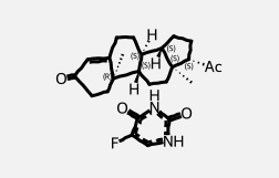 CC(=O)[C@H]1CC[C@H]2[C@@H]3CCC4=CC(=O)CC[C@]4(C)[C@H]3CC[C@]12C.O=c1[nH]cc(F)c(=O)[nH]1